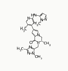 Cc1nc(CN2C(=O)c3cc(-c4cc(Nc5ccnn5C)ncc4C)cn3CC2C)n(C)n1